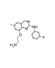 Cc1cc(OCCN)c2nc(Nc3cccc(F)c3)ncc2c1